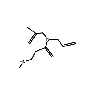 C=CCN(CC(=C)C)C(=C)CCNC